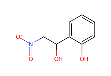 O=[N+]([O-])CC(O)c1ccccc1O